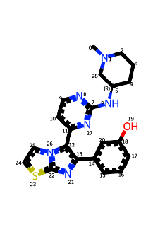 CN1CCC[C@@H](Nc2nccc(-c3c(-c4cccc(O)c4)nc4sccn34)n2)C1